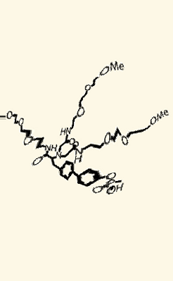 COCCOCCOCCNC(=O)CN(CC(=O)NCCOCCOCCOC)C(Cc1ccc(-c2ccc(OP(C)(=O)O)cc2)cc1)C(=O)NCCOCCOCCOC